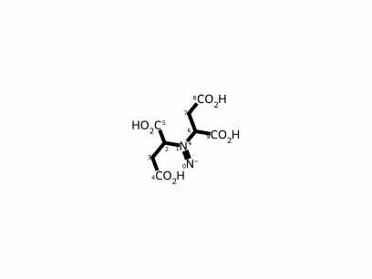 [N-]=[N+](C(CC(=O)O)C(=O)O)C(CC(=O)O)C(=O)O